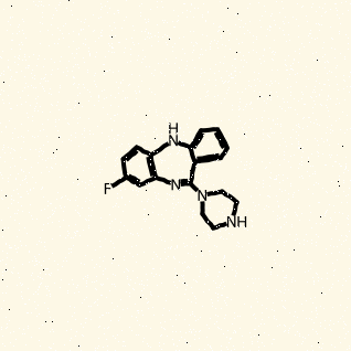 Fc1ccc2c(c1)N=C(N1CCNCC1)c1ccccc1N2